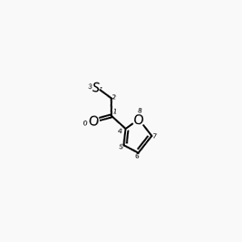 O=C(C[S])c1ccco1